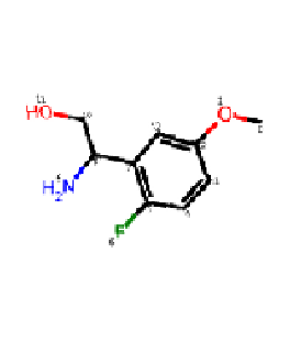 COc1ccc(F)c(C(N)CO)c1